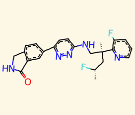 C[C@H](F)C[C@@](C)(CNc1ccc(-c2ccc3c(c2)C(=O)NC3)nn1)c1ncccc1F